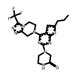 CCCc1cc2c(N3CCn4c(nnc4C(F)(F)F)C3)nc(N3CCNC(=O)C3)nc2s1